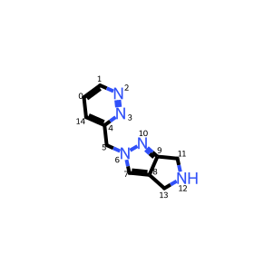 c1cnnc(Cn2cc3c(n2)CNC3)c1